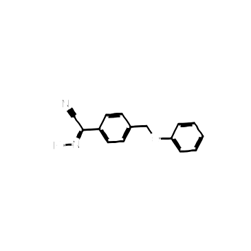 N#CC(=NO)c1ccc(COc2ccccc2)cc1